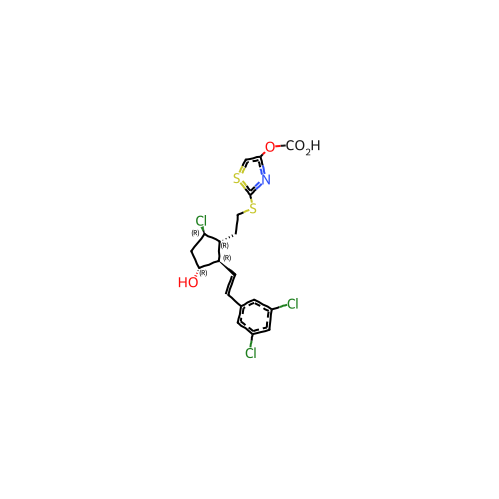 O=C(O)Oc1csc(SCC[C@@H]2[C@@H](C=Cc3cc(Cl)cc(Cl)c3)[C@H](O)C[C@H]2Cl)n1